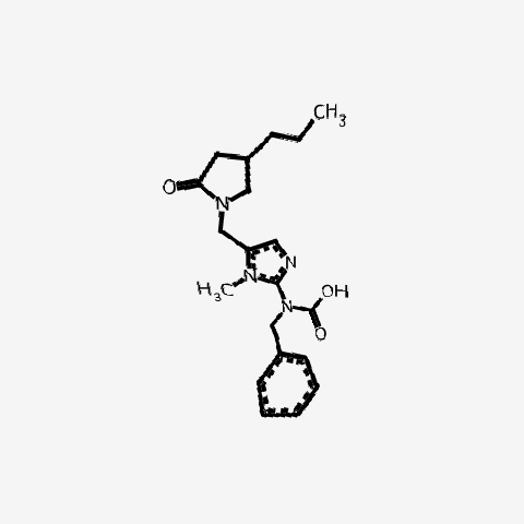 CCCC1CC(=O)N(Cc2cnc(N(Cc3ccccc3)C(=O)O)n2C)C1